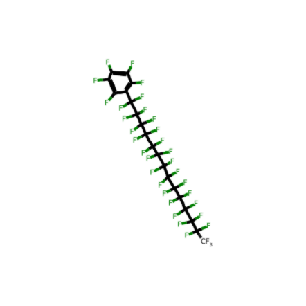 Fc1c(F)c(F)c(C(F)(F)C(F)(F)C(F)(F)C(F)(F)C(F)(F)C(F)(F)C(F)(F)C(F)(F)C(F)(F)C(F)(F)C(F)(F)C(F)(F)C(F)(F)C(F)(F)F)c(F)c1F